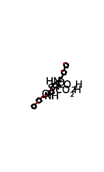 O=C(C=Cc1ccc(-c2ccccc2)cc1)Nc1ccc2c(c1)sc1cc(NC(=O)C=Cc3ccc(-c4ccccc4)cc3)c(C(=O)O)c(C(=O)O)c12